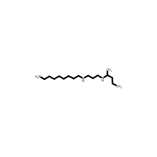 CCCC(C)NCCCNCCCCCCCCN